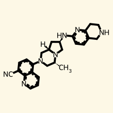 C[C@@H]1CN(c2ccc(C#N)c3ncccc23)C[C@@H]2C[C@@H](Nc3ccc4c(n3)CCNC4)CN21